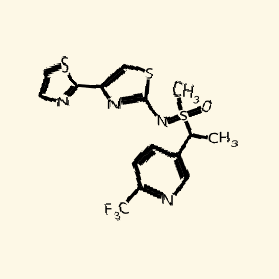 CC(c1ccc(C(F)(F)F)nc1)S(C)(=O)=Nc1nc(-c2nccs2)cs1